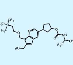 CC(C)NC(=O)OC1CCC(c2cnc3c(c2)cc(CO)n3COCC[Si](C)(C)C)C1